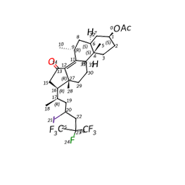 CC(=O)O[C@H]1CC[C@@]2(C)[C@H](C1)C[C@@H](C)C1=C3C(=O)C[C@H]([C@H](C)CC(I)CC(F)(C(F)(F)F)C(F)(F)F)[C@@]3(C)CC[C@@H]12